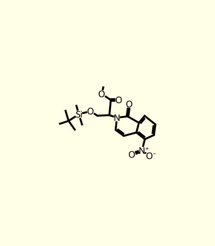 COC(=O)C(CO[Si](C)(C)C(C)(C)C)n1ccc2c([N+](=O)[O-])cccc2c1=O